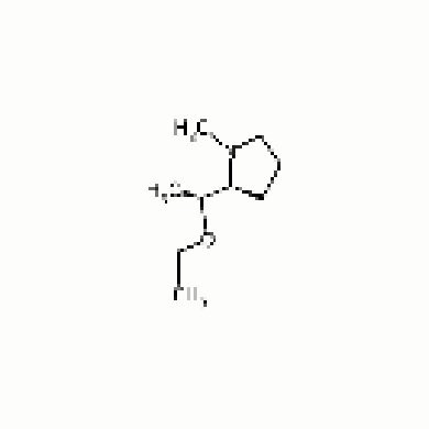 CCO[C@@H](C)[C@@H]1CCCN1C